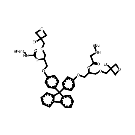 CCCCCNC(=O)OC(COCC1(CC)COC1)COc1ccc(C2(c3ccc(OCC(COCC4(CC)COC4)OC(=O)CNCCCC)cc3)c3ccccc3-c3ccccc32)cc1